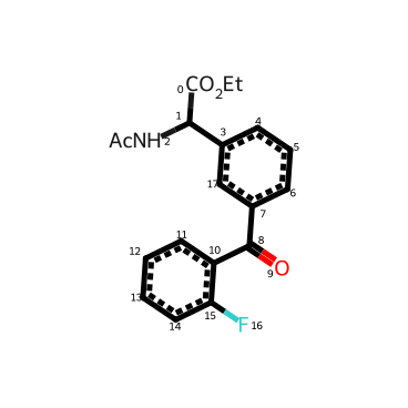 CCOC(=O)C(NC(C)=O)c1cccc(C(=O)c2ccccc2F)c1